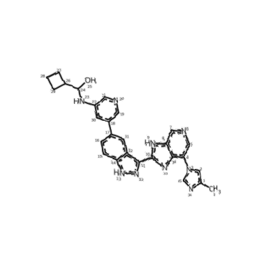 Cc1cn(-c2cncc3[nH]c(-c4n[nH]c5ccc(-c6cncc(NC(O)C7CCC7)c6)cc45)nc23)cn1